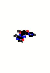 CCCc1nn(C)c2c(=O)[nH]c(-c3cc(C(=O)CN4CCN(C(C)=O)CC4)ccc3OCC)nc12